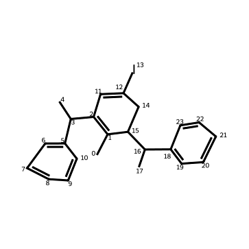 CC1=C(C(C)c2ccccc2)C=C(I)CC1C(C)c1ccccc1